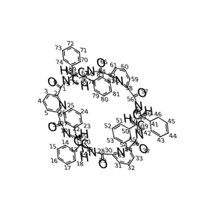 O=C1c2cccc(n2)C(=O)N2C[C@@H](c3ccccc3)N(C[C@H]2c2ccccc2)C(=O)c2cccc(n2)C(=O)N2C[C@@H](C3C=CC=CC3)N(C[C@H]2C2C=CC=CC2)C(=O)c2cccc(n2)C(=O)N2C[C@@H](c3ccccc3)N1C[C@H]2c1ccccc1